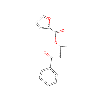 CC(=CC(=O)c1ccccc1)OC(=O)c1ccco1